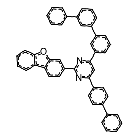 c1ccc(-c2ccc(-c3cc(-c4cccc(-c5cccc(-c6ccccc6)c5)c4)nc(-c4ccc5c(c4)oc4ccccc45)n3)cc2)cc1